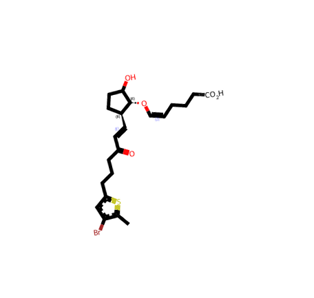 Cc1sc(CCCC(=O)/C=C/[C@H]2CCC(O)[C@@H]2O/C=C\CCCC(=O)O)cc1Br